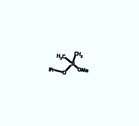 CO[Si](C)(C)OC(C)C